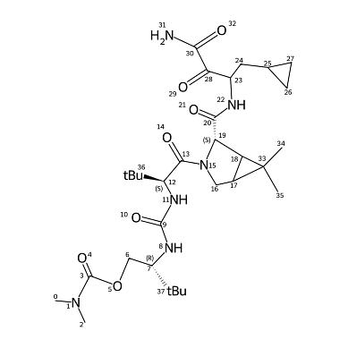 CN(C)C(=O)OC[C@H](NC(=O)N[C@H](C(=O)N1CC2C([C@H]1C(=O)NC(CC1CC1)C(=O)C(N)=O)C2(C)C)C(C)(C)C)C(C)(C)C